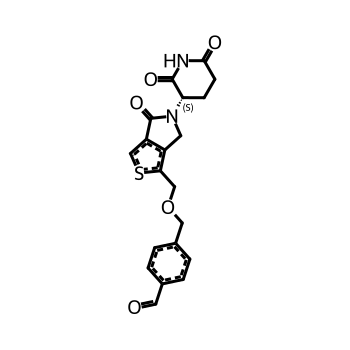 O=Cc1ccc(COCc2scc3c2CN([C@H]2CCC(=O)NC2=O)C3=O)cc1